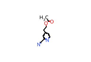 CC(=O)OCCc1ccnc(C#N)c1